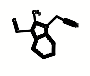 Cc1c(C=O)c2ccccc2n1CC#N